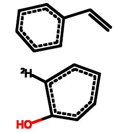 C=Cc1ccccc1.[2H]c1ccccc1O